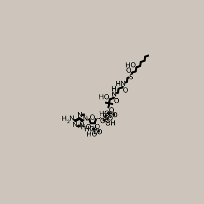 CCCCCC(O)CC(=O)SCCNC(=O)CCNC(=O)[C@H](O)C(C)(C)COP(=O)(O)OP(=O)(O)OC[C@H]1O[C@@H](n2cnc3c(N)ncnc32)[C@H](O)[C@@H]1OP(=O)(O)O